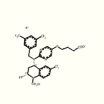 CCOC(=O)N1c2ccc(C(F)(F)F)cc2[C@@H](N(Cc2cc(C(F)(F)F)cc(C(F)(F)F)c2)c2ncc(OCCCC(=O)[O-])cn2)C[C@H]1CC.[K+]